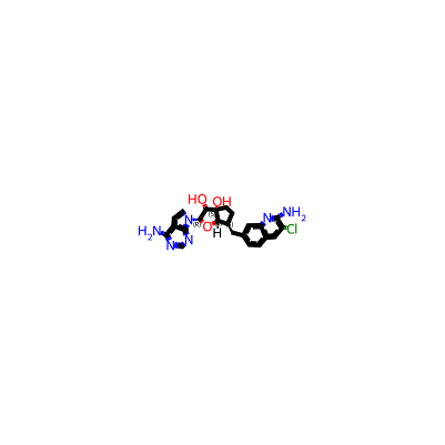 Nc1nc2cc(C[C@@H]3CC[C@]4(O)C(O)[C@H](n5ccc6c(N)ncnc65)O[C@H]34)ccc2cc1Cl